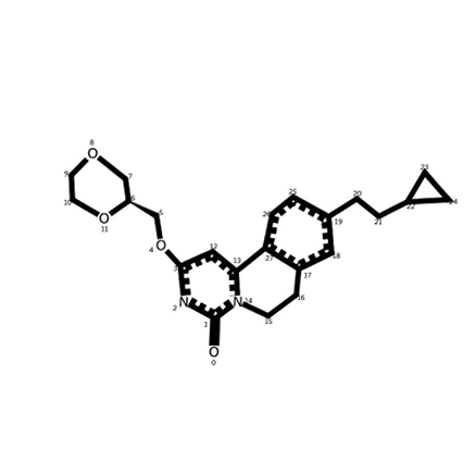 O=c1nc(OC[C@@H]2COCCO2)cc2n1CCc1cc(CCC3CC3)ccc1-2